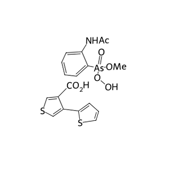 CO[As](=O)(OO)c1ccccc1NC(C)=O.O=C(O)c1cscc1-c1cccs1